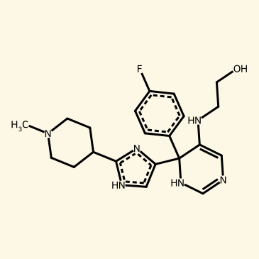 CN1CCC(c2nc(C3(c4ccc(F)cc4)NC=NC=C3NCCO)c[nH]2)CC1